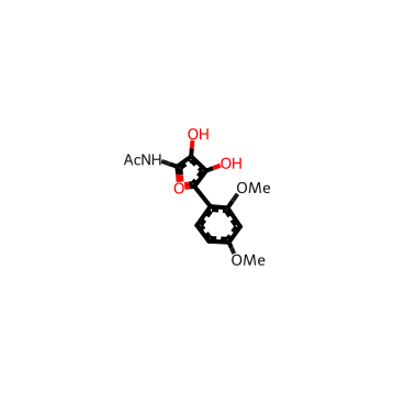 COc1ccc(-c2oc(NC(C)=O)c(O)c2O)c(OC)c1